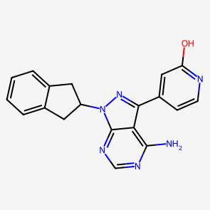 Nc1ncnc2c1c(-c1ccnc(O)c1)nn2C1Cc2ccccc2C1